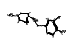 Oc1ccc(CNC2CCC(O)CC2)cc1Br